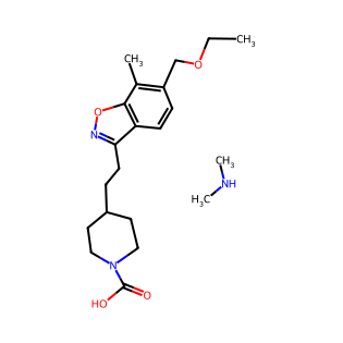 CCOCc1ccc2c(CCC3CCN(C(=O)O)CC3)noc2c1C.CNC